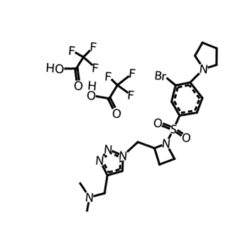 CN(C)Cc1cn(CC2CCN2S(=O)(=O)c2ccc(N3CCCC3)c(Br)c2)nn1.O=C(O)C(F)(F)F.O=C(O)C(F)(F)F